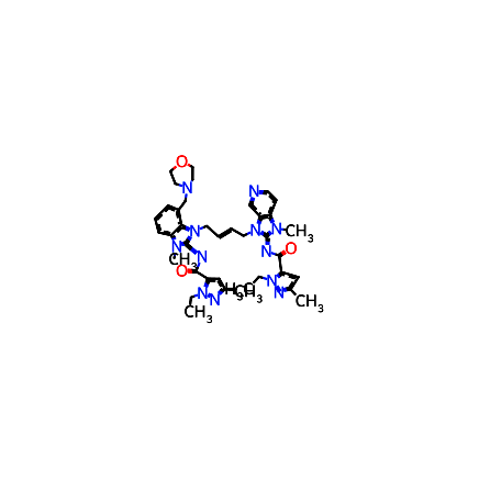 CCn1nc(C)cc1C(=O)/N=c1\n(C)c2ccncc2n1C/C=C/Cn1/c(=N/C(=O)c2cc(C)nn2CC)n(C)c2cccc(CN3CCOCC3)c21